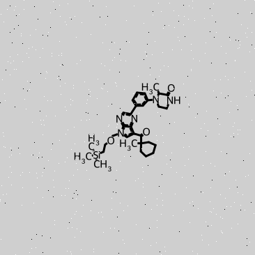 CC1C(=O)NCCN1c1cccc(-c2cnc3c(n2)c(C(=O)C2(C)CCCCC2)cn3COCC[Si](C)(C)C)c1